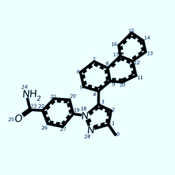 Cc1cc(-c2cccc3c2ccc2ccccc23)n(-c2ccc(C(N)=O)cc2)n1